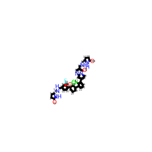 O=C1CC[C@H](CNCc2ccc(C3(OC(F)F)C=CC=C(c4cccc(-c5ccn6c(=O)c(CNC[C@H]7CCC(=O)N7)cnc6c5)c4Cl)C3Cl)cc2)N1